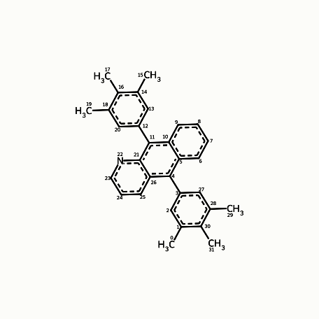 Cc1cc(-c2c3ccccc3c(-c3cc(C)c(C)c(C)c3)c3ncccc23)cc(C)c1C